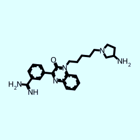 N=C(N)c1cccc(-c2nc3ccccc3n(CCCCCN3CCC(N)C3)c2=O)c1